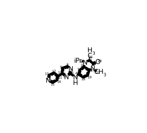 CC(C)N1c2cc(Nc3nccc(-c4ccncc4)n3)ccc2N(C)C(=O)[C@H]1C